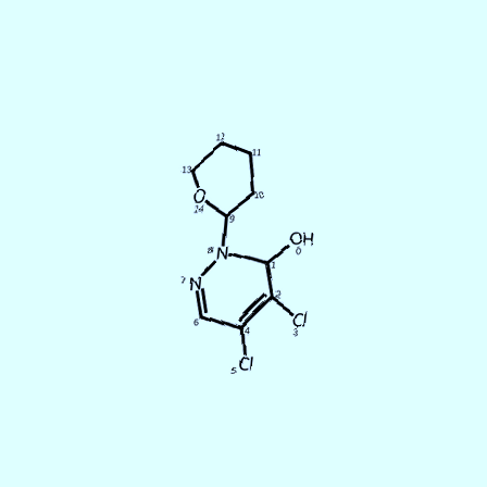 OC1C(Cl)=C(Cl)C=NN1C1CCCCO1